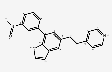 O=[N+]([O-])c1cccc(-c2cc(CCc3ccncc3)cc3ccoc23)c1